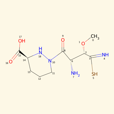 CO[C@H](C(=N)S)[C@H](N)C(=O)N1CCC[C@@H](C(=O)O)N1